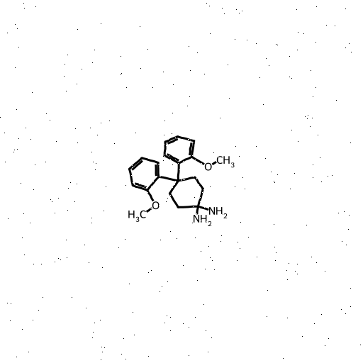 COc1ccccc1C1(c2ccccc2OC)CCC(N)(N)CC1